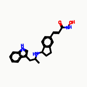 CC(Cc1c[nH]c2ccccc12)NC1CCc2cc(C=CC(=O)NO)ccc21